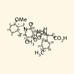 COc1cccc(F)c1Cn1cc(C)c(O)c(NC(=O)N[C@@H](CC(=O)O)c2ccc(C)cc2)c1=O